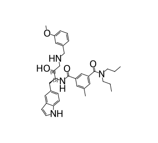 CCCN(CCC)C(=O)c1cc(C)cc(C(=O)N[C@@H](Cc2ccc3[nH]ccc3c2)[C@H](O)CNCc2cccc(OC)c2)c1